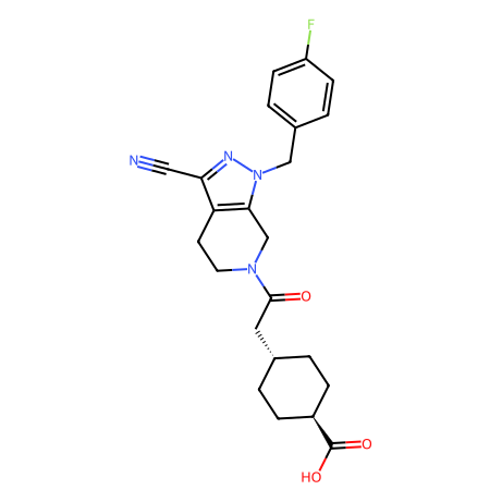 N#Cc1nn(Cc2ccc(F)cc2)c2c1CCN(C(=O)C[C@H]1CC[C@H](C(=O)O)CC1)C2